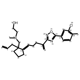 C=CCC1(CN(C)CCO)CCC/C1=C\CCC(=C)c1noc(-c2ccc(C)c(Cl)c2)n1